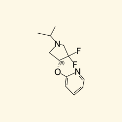 CC(C)N1C[C@@H](Oc2ccccn2)C(F)(F)C1